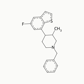 CC1CN(Cc2ccccc2)CCC1c1cc(F)cc2ccsc12